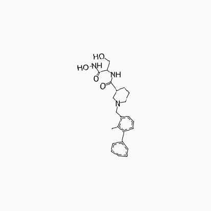 Cc1c(CN2CCCC(C(=O)NC(CO)C(=O)NO)C2)cccc1-c1ccccc1